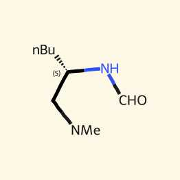 CCCC[C@@H](CNC)NC=O